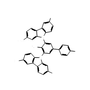 CC(C)(C)c1ccc2c(c1)c1ccc(C(C)(C)C)cc1n2-c1cc(-c2ccc(F)cc2)cc(-n2c3ccc(C(C)(C)C)cc3c3ccc(C(C)(C)C)cc32)c1C#N